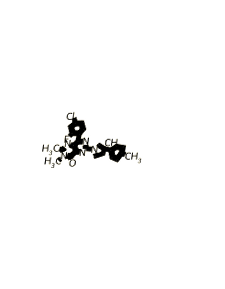 Cc1ccc(C2(C)CCN(c3nc(-c4ccc(Cl)cc4F)c4nc(C)n(C)c(=O)c4n3)C2)cc1